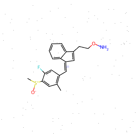 Cc1cc([S+](C)[O-])c(F)cc1/C=C1/C=C(CCON)c2ccccc21